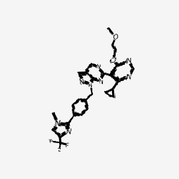 COCCOc1ncnc(C2CC2)c1-c1ncc2cnn(Cc3ccc(-c4nc(C(F)(F)F)cn4C)cc3)c2n1